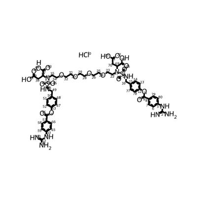 Cl.N=C(N)Nc1ccc(C(=O)Oc2ccc(CNS(=O)(=O)N(CCOCCOCCOCCOCCN(C(CC(=O)O)C(=O)O)S(=O)(=O)NCc3ccc(OC(=O)c4ccc(NC(=N)N)cc4)cc3)C(CC(=O)O)C(=O)O)cc2)cc1